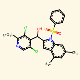 CCOC(=O)c1ncc(Cl)c(C(O)c2cc3c(C)cc(C(F)(F)F)cc3n2S(=O)(=O)c2ccccc2)c1Cl